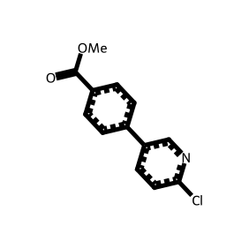 COC(=O)c1ccc(-c2ccc(Cl)nc2)cc1